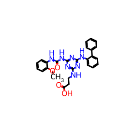 COc1ccccc1NC(=O)Nc1nc(NCCC(=O)O)nc(Nc2ccccc2-c2ccccc2)n1